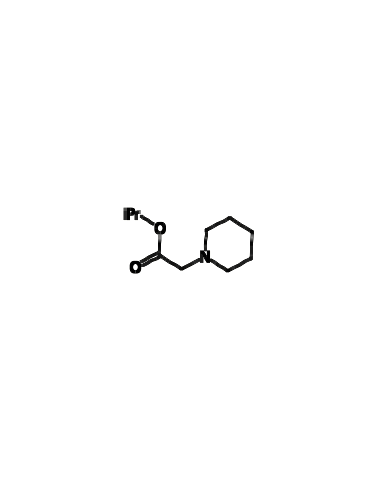 CC(C)OC(=O)CN1CCCCC1